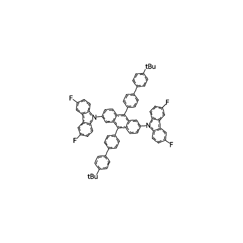 CC(C)(C)c1ccc(-c2ccc(-c3c4ccc(-n5c6ccc(F)cc6c6cc(F)ccc65)cc4c(-c4ccc(-c5ccc(C(C)(C)C)cc5)cc4)c4ccc(-n5c6ccc(F)cc6c6cc(F)ccc65)cc34)cc2)cc1